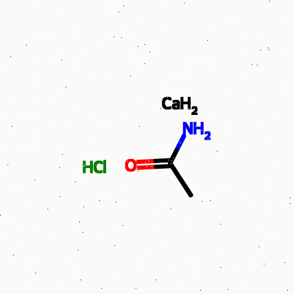 CC(N)=O.Cl.[CaH2]